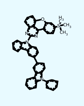 C[Si](C)(C)c1ccc2c(c1)Oc1cccc3nc(-n4c5ccccc5c5cc(-c6ccc7c(c6)c6ccccc6n7-c6ccccc6)ccc54)nc-2c13